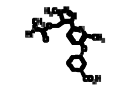 CCN(C)C(=O)OCc1c(-c2ccc(O[C@H]3CCC[C@H](C(=O)O)C3)c(C)n2)nnn1C